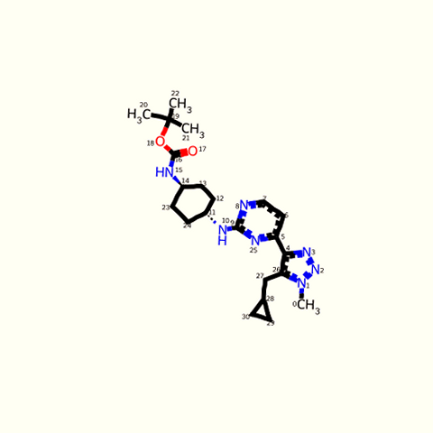 Cn1nnc(-c2ccnc(N[C@H]3CC[C@H](NC(=O)OC(C)(C)C)CC3)n2)c1CC1CC1